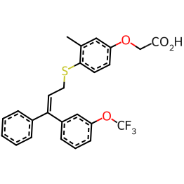 Cc1cc(OCC(=O)O)ccc1SCC=C(c1ccccc1)c1cccc(OC(F)(F)F)c1